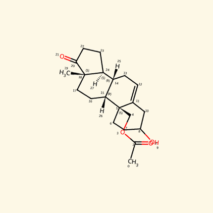 CC(=O)OC[C@]12CCC(O)CC1=CC[C@@H]1[C@H]2CC[C@]2(C)C(=O)CC[C@@H]12